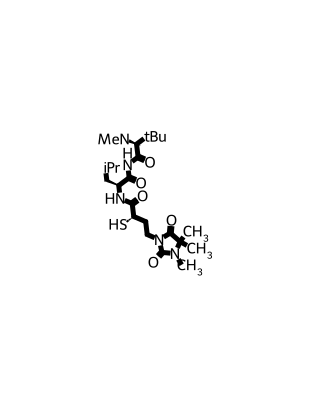 CN[C@H](C(=O)NC(=O)[C@H](CC(C)C)NC(=O)[C@@H](S)CCN1C(=O)N(C)C(C)(C)C1=O)C(C)(C)C